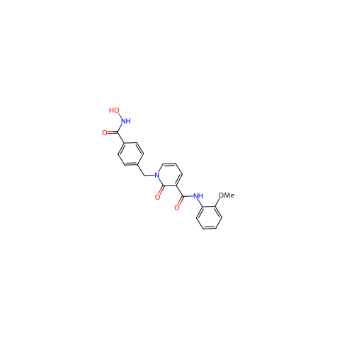 COc1ccccc1NC(=O)c1cccn(Cc2ccc(C(=O)NO)cc2)c1=O